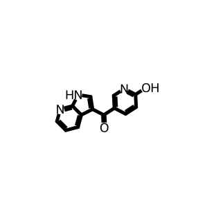 O=C(c1ccc(O)nc1)c1c[nH]c2ncccc12